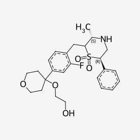 C[C@@H]1NC[C@@H](c2ccccc2)S(=O)(=O)C1Cc1ccc(C2(OCCO)CCOCC2)cc1F